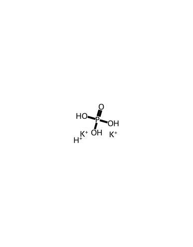 O=P(O)(O)O.[H+].[K+].[K+]